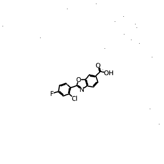 O=C(O)c1ccc2nc(-c3ccc(F)cc3Cl)oc2c1